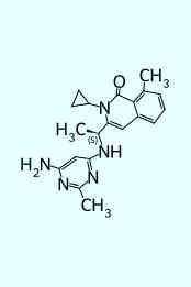 Cc1nc(N)cc(N[C@@H](C)c2cc3cccc(C)c3c(=O)n2C2CC2)n1